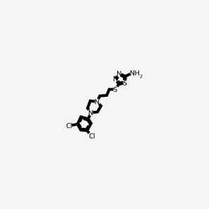 Nc1nnc(SCCCN2CCN(c3cc(Cl)cc(Cl)c3)CC2)s1